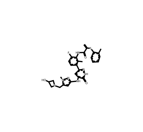 C=C(Sc1ccccc1C)C(=O)Nc1c(F)ccc(-c2cc(Nc3cc(CN4CC(O)C4)n(C)n3)c(=O)[nH]n2)c1C